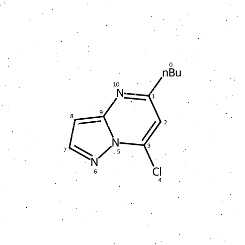 CCCCc1cc(Cl)n2nccc2n1